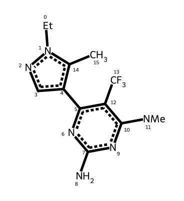 CCn1ncc(-c2nc(N)nc(NC)c2C(F)(F)F)c1C